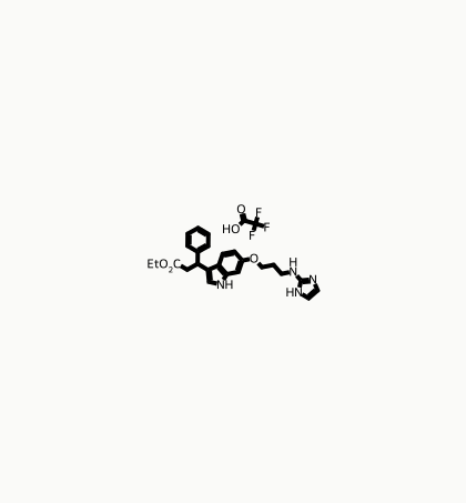 CCOC(=O)CC(c1ccccc1)c1c[nH]c2cc(OCCCNc3ncc[nH]3)ccc12.O=C(O)C(F)(F)F